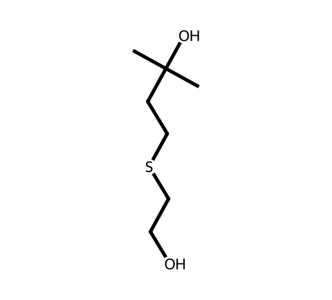 CC(C)(O)CCSCCO